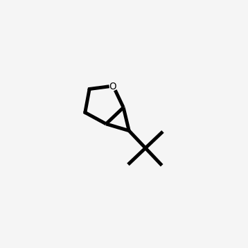 CC(C)(C)C1C2CCOC21